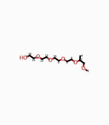 COCC(C)OCCOCCOCCOCCO